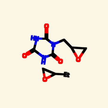 CCC1CO1.O=c1[nH]c(=O)n(CC2CO2)c(=O)[nH]1